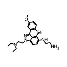 CCN(CC)CCn1nc2c3c(c(NCCN)ccc31)[Se]c1ccc(OC)cc1-2